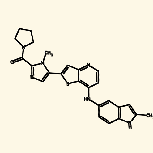 Cc1cc2cc(Nc3ccnc4cc(-c5cnc(C(=O)N6CCCC6)n5C)sc34)ccc2[nH]1